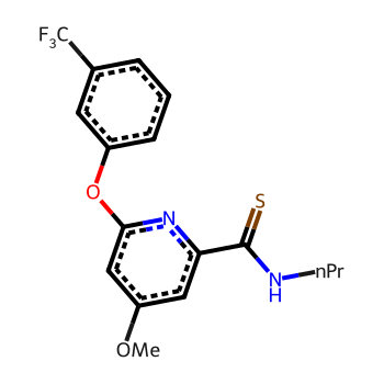 CCCNC(=S)c1cc(OC)cc(Oc2cccc(C(F)(F)F)c2)n1